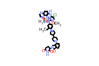 CCc1cc(Nc2ncc(Cl)c(Nc3ccc4nccnc4c3NS(C)(=O)=O)n2)c(OC)cc1N1CCC(C2CCN(c3cccc4c3CN(C3CCC(=O)NC3=O)C4=O)CC2)CC1